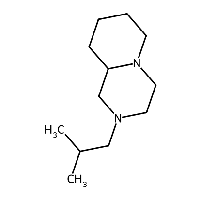 CC(C)CN1CCN2CCCCC2C1